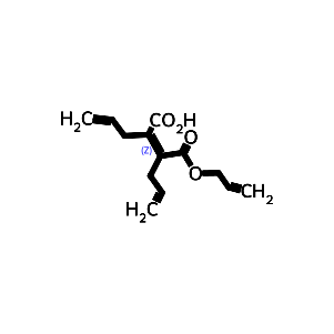 C=CCOC(=O)/C(CC=C)=C(/CC=C)C(=O)O